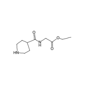 CCOC(=O)CNC(=O)C1CCNCC1